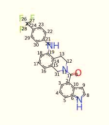 O=C(c1cccc2[nH]ccc12)N1CCc2c(cccc2Nc2ccc(C(F)(F)F)cc2)C1